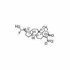 CC1CC(=O)C([N+](=O)[O-])=C2CC[C@H]3[C@@H]4CCC(=CC(O)F)[C@@]4(C)CC[C@@H]3[C@]21C